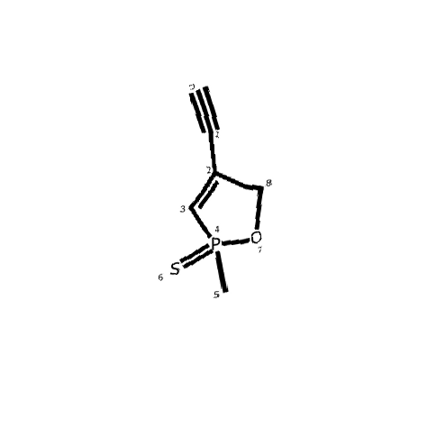 C#CC1=CP(C)(=S)OC1